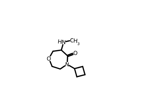 CNC1COCCN(C2CCC2)C1=O